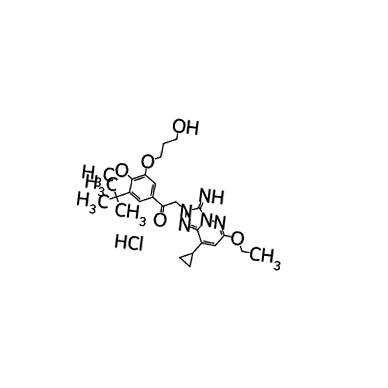 CCOc1cc(C2CC2)c2nn(CC(=O)c3cc(OCCCO)c(OC)c(C(C)(C)C)c3)c(=N)n2n1.Cl